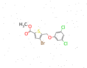 COC(=O)c1cc(Br)c(COc2cc(Cl)cc(Cl)c2)s1